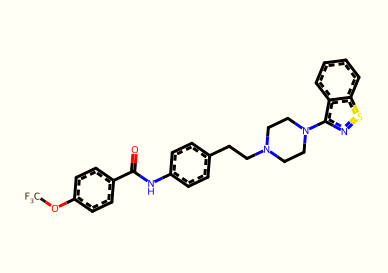 O=C(Nc1ccc(CCN2CCN(c3nsc4ccccc34)CC2)cc1)c1ccc(OC(F)(F)F)cc1